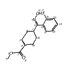 COC(=O)C1CCC(C(=NO)c2ccccc2F)CC1